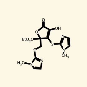 CCOC(=O)C1(CSc2nccn2C)OC(=O)C(O)=C1Sc1nccn1C